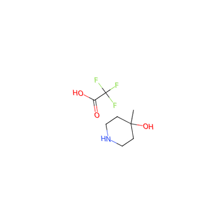 CC1(O)CCNCC1.O=C(O)C(F)(F)F